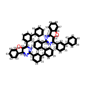 c1ccc(-c2cccc(-c3nc(-c4cccc(-c5ccccc5-c5ccccc5-c5nc(-c6cccc(-c7ccccc7)c6)c6oc7ccccc7c6n5)c4)nc4c3oc3ccccc34)c2)cc1